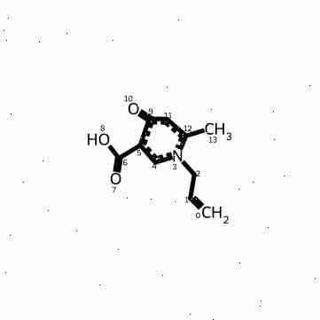 C=CCn1cc(C(=O)O)c(=O)cc1C